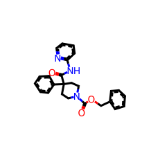 O=C(OCc1ccccc1)N1CCC(C(=O)Nc2ccccn2)(c2ccccc2)CC1